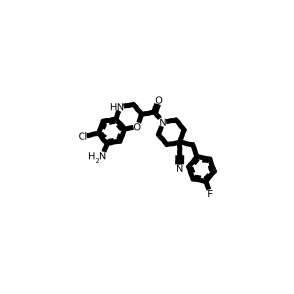 N#CC1(Cc2ccc(F)cc2)CCN(C(=O)C2CNc3cc(Cl)c(N)cc3O2)CC1